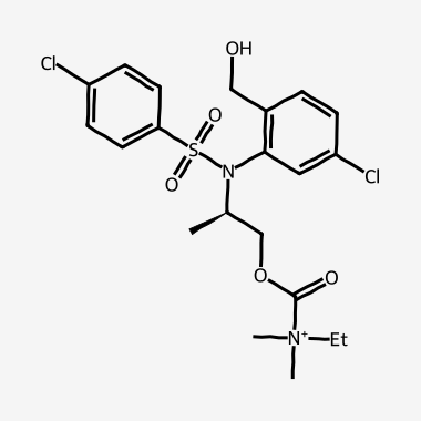 CC[N+](C)(C)C(=O)OC[C@@H](C)N(c1cc(Cl)ccc1CO)S(=O)(=O)c1ccc(Cl)cc1